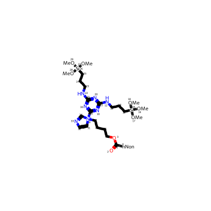 CCCCCCCCCC(=O)OCCCC[N+]1(c2nc(NCCC[Si](OC)(OC)OC)nc(NCCC[Si](OC)(OC)OC)n2)C=CN=C1